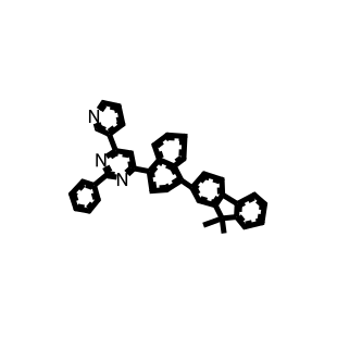 CC1(C)c2ccccc2-c2ccc(-c3ccc(-c4cc(-c5cccnc5)nc(-c5ccccc5)n4)c4ccccc34)cc21